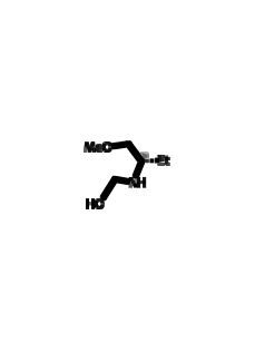 CC[C@@H](COC)NCO